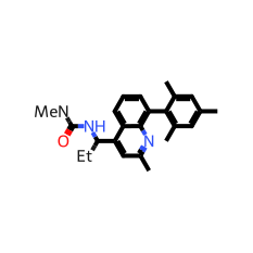 CCC(NC(=O)NC)c1cc(C)nc2c(-c3c(C)cc(C)cc3C)cccc12